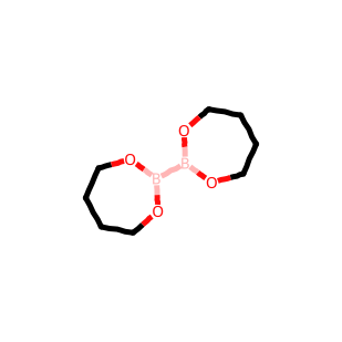 C1CCOB(B2OCCCCO2)OC1